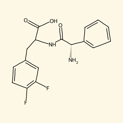 N[C@H](C(=O)NC(Cc1ccc(F)c(F)c1)C(=O)O)c1ccccc1